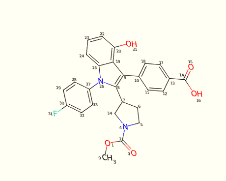 COC(=O)N1CCC(c2c(-c3ccc(C(=O)O)cc3)c3c(O)cccc3n2-c2ccc(F)cc2)C1